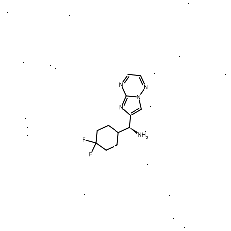 N[C@H](c1cn2nccnc2n1)C1CCC(F)(F)CC1